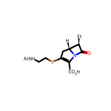 CC[C@H]1C(=O)N2C(C(=O)O)=C(SCCNC(C)=O)C[C@H]12